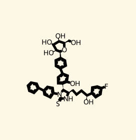 OC[C@H]1O[C@@H](c2ccc(-c3ccc([C@@H]4[C@@H](CCC[C@@H](O)c5ccc(F)cc5)NC(=S)N4c4ccc(-c5ccccc5)cc4)c(O)c3)cc2)[C@H](O)[C@@H](O)[C@@H]1O